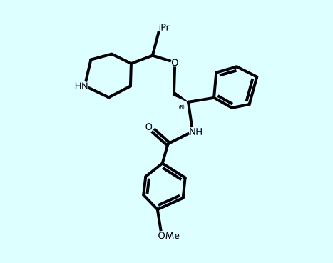 COc1ccc(C(=O)N[C@@H](COC(C(C)C)C2CCNCC2)c2ccccc2)cc1